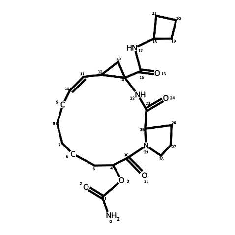 NC(=O)OC1CCCCCC=CC2CC2(C(=O)NC2CCC2)NC(=O)C2CCCN2C1=O